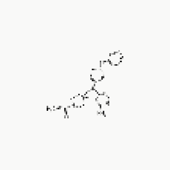 C=CC(=O)N1CCC(F)(CN(c2ccc(Oc3ccccc3)cc2)c2cc(N)ncn2)CC1